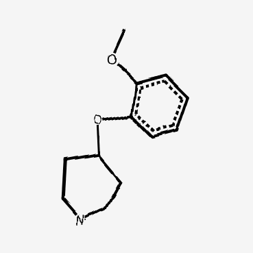 COc1ccccc1OC1CC[N]CC1